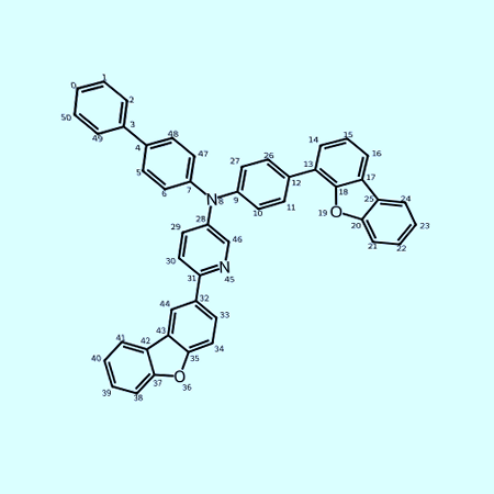 c1ccc(-c2ccc(N(c3ccc(-c4cccc5c4oc4ccccc45)cc3)c3ccc(-c4ccc5oc6ccccc6c5c4)nc3)cc2)cc1